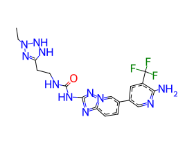 CCN1N=C(CCNC(=O)Nc2nc3ccc(-c4cnc(N)c(C(F)(F)F)c4)cn3n2)NN1